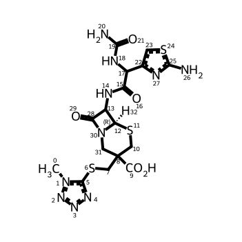 Cn1nnnc1SCC1(C(=O)O)CS[C@@H]2C(NC(=O)C(NC(N)=O)c3csc(N)n3)C(=O)N2C1